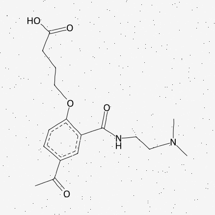 CC(=O)c1ccc(OCCCC(=O)O)c(C(=O)NCCN(C)C)c1